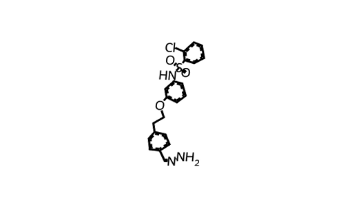 N/N=C\c1ccc(CCOc2cccc(NS(=O)(=O)c3ccccc3Cl)c2)cc1